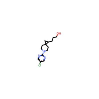 OCCCC1CC12CCN(c1ncc(Cl)cn1)CC2